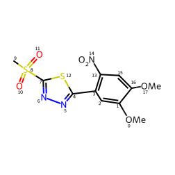 COc1cc(-c2nnc(S(C)(=O)=O)s2)c([N+](=O)[O-])cc1OC